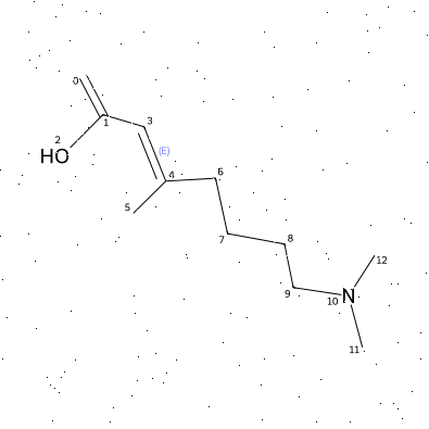 C=C(O)/C=C(\C)CCCCN(C)C